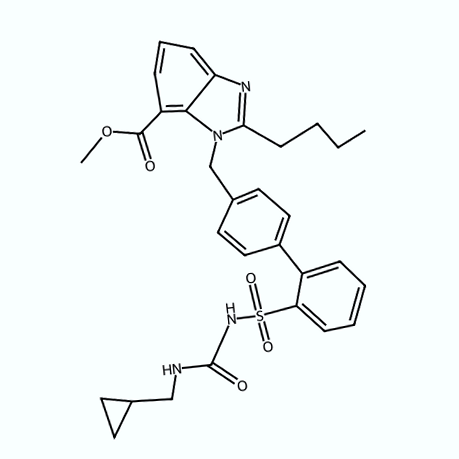 CCCCc1nc2cccc(C(=O)OC)c2n1Cc1ccc(-c2ccccc2S(=O)(=O)NC(=O)NCC2CC2)cc1